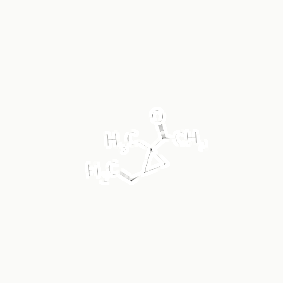 C=C[C@@H]1CC1(C)C(C)=O